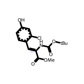 COC(=O)/C(=C/c1ccc(O)cc1Cl)NC(=O)OC(C)(C)C